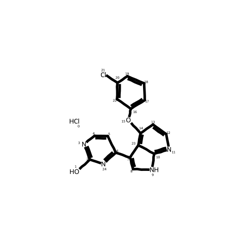 Cl.Oc1nccc(-c2c[nH]c3nccc(Oc4cccc(Cl)c4)c23)n1